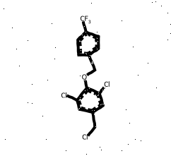 FC(F)(F)c1ccc(COc2c(Cl)cc(CCl)cc2Cl)cc1